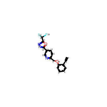 C#Cc1ccccc1OCc1ccc(-c2nnc(C(F)F)o2)cn1